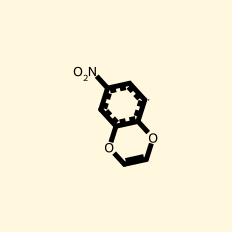 O=[N+]([O-])c1c[c]c2c(c1)OC=CO2